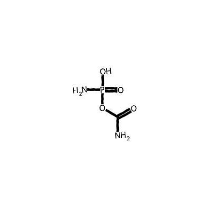 NC(=O)OP(N)(=O)O